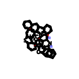 CC1C/C=C(c2c(-n3c4ccccc4c4cc5ccccc5cc43)ccc3oc4ccccc4c23)/N=C(c2ccccc2)\N=C/1c1cccc2sc3ccccc3c12